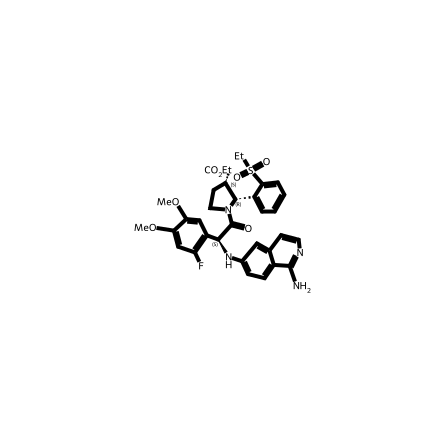 CCOC(=O)[C@H]1CCN(C(=O)[C@@H](Nc2ccc3c(N)nccc3c2)c2cc(OC)c(OC)cc2F)[C@H]1c1ccccc1S(=O)(=O)CC